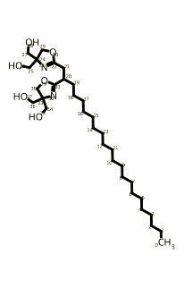 CCCCCCCCCCCCCCCCCCCCC(CC1=NC(CO)(CO)CO1)C1=NC(CO)(CO)CO1